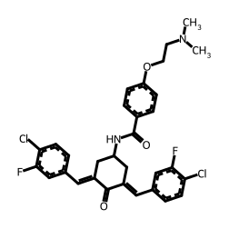 CN(C)CCOc1ccc(C(=O)NC2CC(=Cc3ccc(Cl)c(F)c3)C(=O)C(=Cc3ccc(Cl)c(F)c3)C2)cc1